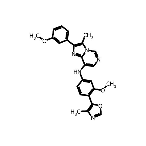 COc1cccc(-c2nc3c(Nc4ccc(-c5ocnc5C)c(OC)c4)cncn3c2C)c1